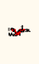 COc1cc2nccc(Oc3ccc(NC(=O)NCCC(C)(C)C)cc3)c2cc1OCCCN1CCC(O)CC1